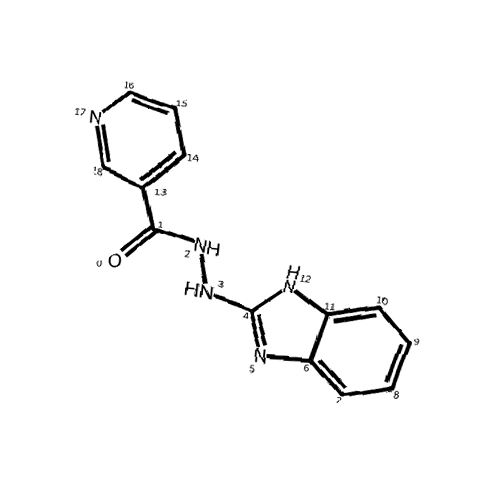 O=C(NNc1nc2ccccc2[nH]1)c1cccnc1